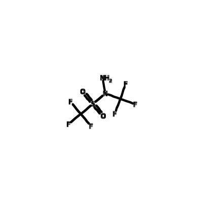 NN(C(F)(F)F)S(=O)(=O)C(F)(F)F